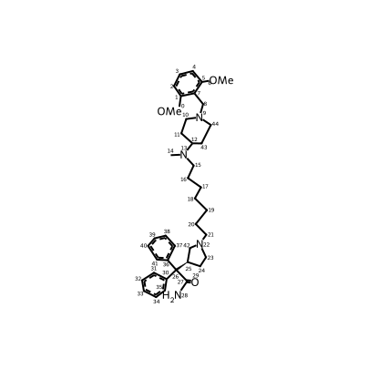 COc1cccc(OC)c1CN1CCC(N(C)CCCCCCCN2CC[C@@H](C(C(N)=O)(c3ccccc3)c3ccccc3)C2)CC1